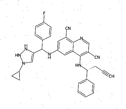 C#CC[C@@H](Nc1c(C#N)cnc2c(C#N)cc(NC(C3=CN(C4CC4)NN3)c3ccc(F)cc3)cc12)c1ccccc1